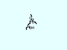 CCO[Si](C)(CCCN(O)CC)OCC